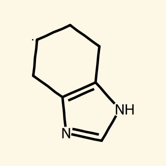 [CH]1CCc2[nH]cnc2C1